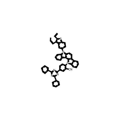 C=Cc1sc2ccc(-n3c4ccccc4c4c3ccc3c5ccccc5n(-c5ccc(-c6nc(-c7ccccc7)nc(-c7ccccc7)n6)cc5C#N)c34)cc2c1/C=C\C